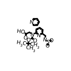 CC(C)(C)OC(=O)N(CC(=O)O)c1cccc(CN=S(=O)=O)n1.c1ccncc1